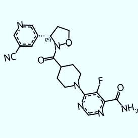 N#Cc1cncc([C@@H]2CCON2C(=O)C2CCN(c3ncnc(C(N)=O)c3F)CC2)c1